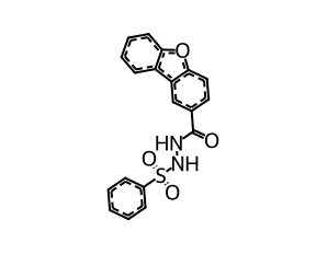 O=C(NNS(=O)(=O)c1ccccc1)c1ccc2oc3ccccc3c2c1